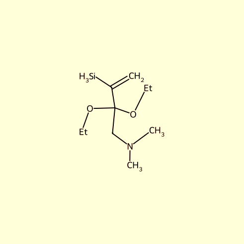 C=C([SiH3])C(CN(C)C)(OCC)OCC